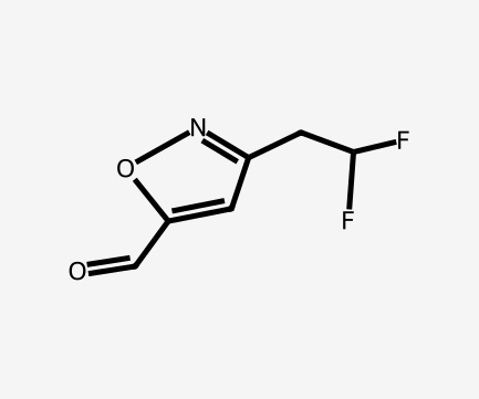 O=Cc1cc(CC(F)F)no1